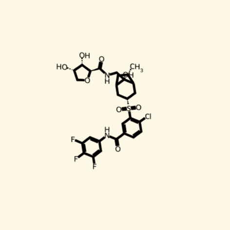 C[C@H]1CC2C[C@@H](S(=O)(=O)c3cc(C(=O)Nc4cc(F)c(F)c(F)c4)ccc3Cl)CC1[C@@]2(O)CNC(=O)[C@H]1OC[C@H](O)[C@@H]1O